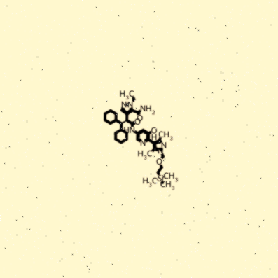 CCn1ncc([C@@H](C(=O)Nc2cnc(-c3c(C)nn(COCC[Si](C)(C)C)c3C)c(O)c2)C(C2CCCCC2)C2CCCCC2)c1C(N)=O